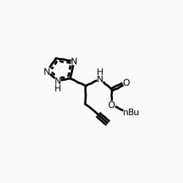 C#CCC(NC(=O)OCCCC)c1ncn[nH]1